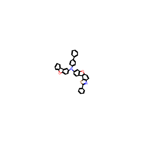 c1ccc(-c2ccc(N(c3ccc4c(c3)oc3ccc5nc(-c6ccccc6)sc5c34)c3ccc4oc5ccccc5c4c3)cc2)cc1